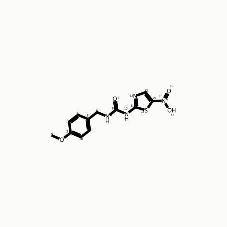 COc1ccc(CNC(=O)Nc2ncc([N+](=O)O)s2)cc1